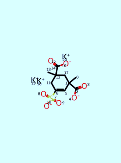 CC1(C(=O)[O-])C=C(S(=O)(=O)[O-])CC(C)(C(=O)[O-])C1.[K+].[K+].[K+]